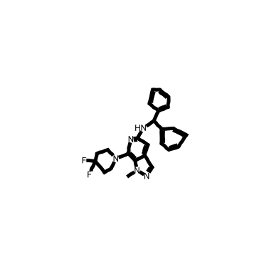 Cn1ncc2cc(NC(c3ccccc3)c3ccccc3)nc(N3CCC(F)(F)CC3)c21